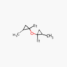 CCC1(OC2(CC)CC2C)CC1C